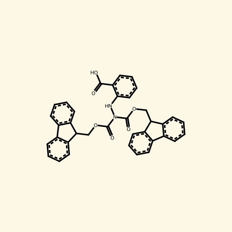 O=C(O)c1ccccc1NN(C(=O)OCC1c2ccccc2-c2ccccc21)C(=O)OCC1c2ccccc2-c2ccccc21